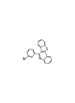 Brc1cccc(-c2nc3ccccc3c3sc4ccccc4c23)c1